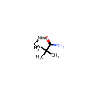 CCCC(C)(C)C(N)=O.CNC